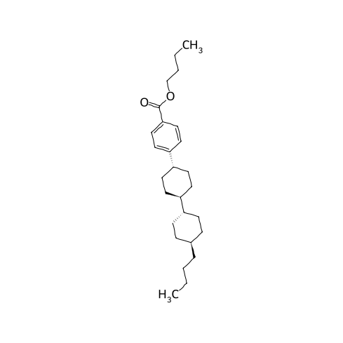 CCCCOC(=O)c1ccc([C@H]2CC[C@H]([C@H]3CC[C@H](CCCC)CC3)CC2)cc1